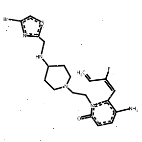 C=C/C(F)=C\c1c(N)ccc(=O)n1CCN1CCC(NCc2nc(Br)cs2)CC1